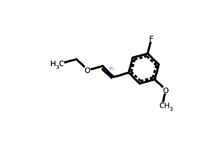 CCO/C=C/c1cc(F)cc(OC)c1